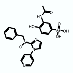 CC(=O)Nc1cc([As](=O)(O)O)ccc1O.[O-][S+](Cc1ccccc1)c1nccn1-c1ccncc1